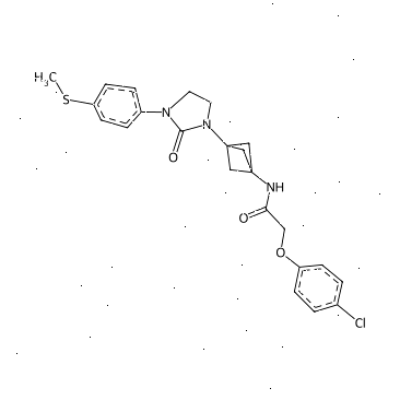 CSc1ccc(N2CCN(C34CC(NC(=O)COc5ccc(Cl)cc5)(C3)C4)C2=O)cc1